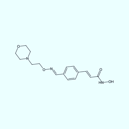 O=C(/C=C/c1ccc(C=NOCCN2CCOCC2)cc1)NO